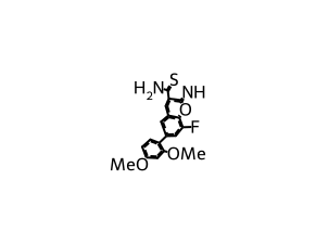 COc1ccc(-c2cc(F)c3oc(=N)c(C(N)=S)cc3c2)c(OC)c1